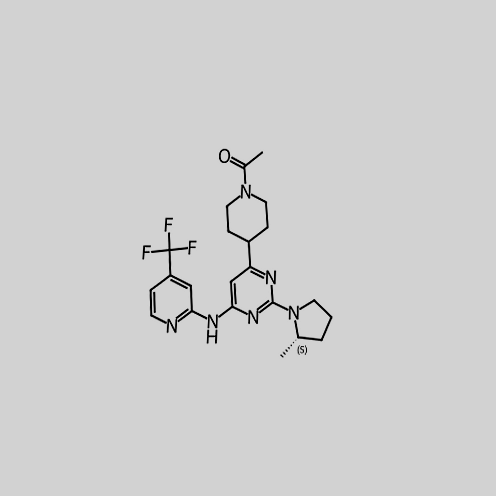 CC(=O)N1CCC(c2cc(Nc3cc(C(F)(F)F)ccn3)nc(N3CCC[C@@H]3C)n2)CC1